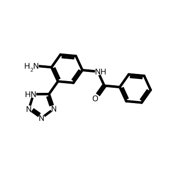 Nc1ccc(NC(=O)c2ccccc2)cc1-c1nnn[nH]1